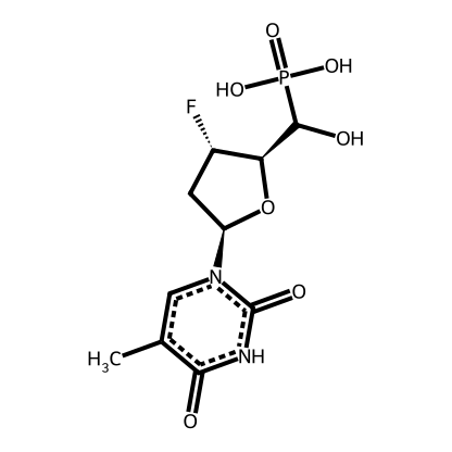 Cc1cn([C@H]2C[C@H](F)[C@@H](C(O)P(=O)(O)O)O2)c(=O)[nH]c1=O